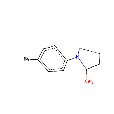 CC(C)c1ccc(N2CCCC2O)cc1